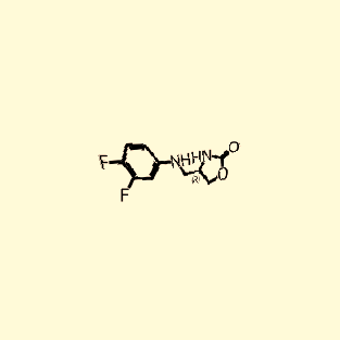 O=C1N[C@H](CNc2ccc(F)c(F)c2)CO1